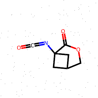 O=C=NC12CC(COC1=O)C2